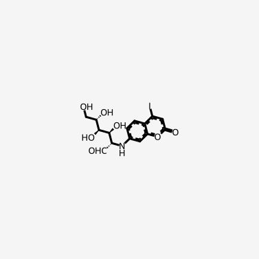 O=C[C@@H](Nc1ccc2c(I)cc(=O)oc2c1)[C@H](O)[C@@H](O)[C@@H](O)CO